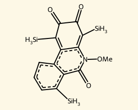 COn1c2c(c3cccc([SiH3])c3c1=O)=C([SiH3])C(=O)C(=O)C=2[SiH3]